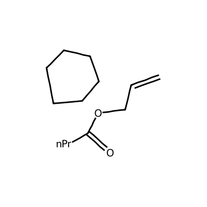 C1CCCCC1.C=CCOC(=O)CCC